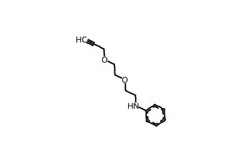 C#CCOCCOCCNc1ccccc1